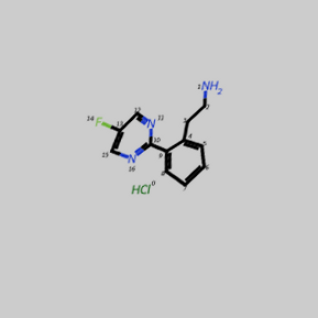 Cl.NCCc1ccccc1-c1ncc(F)cn1